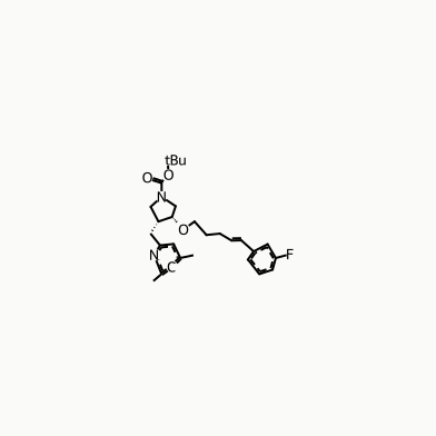 Cc1cc(C)nc(C[C@@H]2CN(C(=O)OC(C)(C)C)C[C@@H]2OCCC/C=C/c2cccc(F)c2)c1